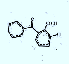 O=C(c1ccccc1)c1cccc(Cl)c1C(=O)O